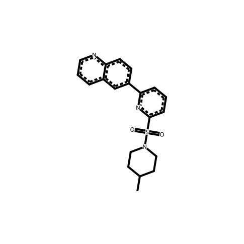 CC1CCN(S(=O)(=O)c2cccc(-c3ccc4ncccc4c3)n2)CC1